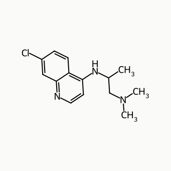 CC(CN(C)C)Nc1ccnc2cc(Cl)ccc12